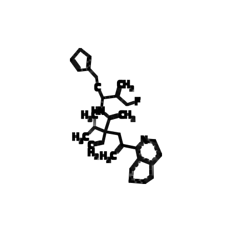 C=CC(CC(=C)c1nccc2ccccc12)(C(=C)NC(CCC1=CCC=C1)C(=C)CF)C(C)C